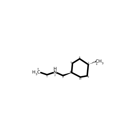 CCNC[C@H]1CC[C@H](C)CC1